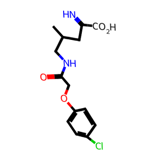 CC(CNC(=O)COc1ccc(Cl)cc1)CC(=N)C(=O)O